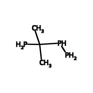 CC(C)(P)PP